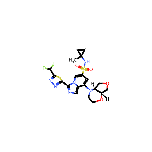 CC1(NS(=O)(=O)c2cc(N3CCO[C@H]4COC[C@@H]43)c3cnc(-c4nnc(C(F)F)s4)n3c2)CC1